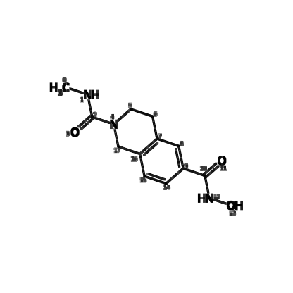 CNC(=O)N1CCc2cc(C(=O)NO)ccc2C1